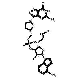 CSP(=O)(OC[C@@H]1CC[C@H](n2nnc3c(=O)[nH]c(N)nc32)S1)OC1[C@@H](COPS)O[C@@H](n2ccc3c(N)ncnc32)[C@H]1F